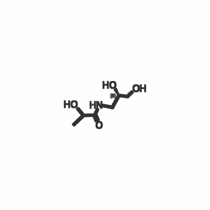 CC(O)C(=O)NC[C@@H](O)CO